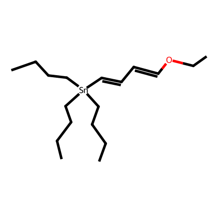 CCC[CH2][Sn](/[CH]=C/C=C/OCC)([CH2]CCC)[CH2]CCC